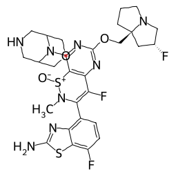 CN1C(c2ccc(F)c3sc(N)nc23)=C(F)c2nc(OC[C@@]34CCCN3C[C@H](F)C4)nc(N3C4CNCC3COC4)c2[S+]1[O-]